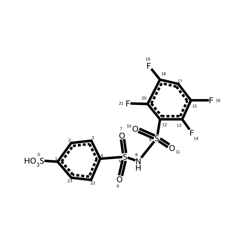 O=S(=O)(O)c1ccc(S(=O)(=O)NS(=O)(=O)c2c(F)c(F)cc(F)c2F)cc1